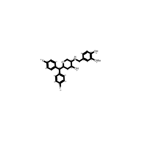 COc1cc(CNC2COC(C(c3ccc(F)cc3)c3ccc(F)cc3)CC2O)ccc1O